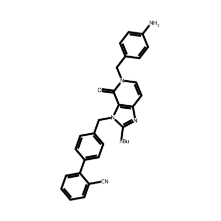 CCCCc1nc2ccn(Cc3ccc(N)cc3)c(=O)c2n1Cc1ccc(-c2ccccc2C#N)cc1